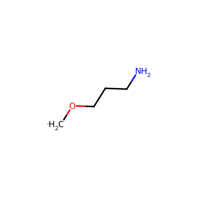 [CH2]OCCCN